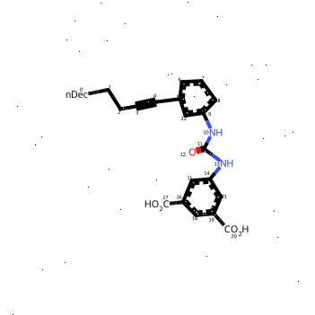 CCCCCCCCCCCCC#Cc1cccc(NC(=O)Nc2cc(C(=O)O)cc(C(=O)O)c2)c1